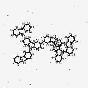 c1ccc2c(c1)sc1ccc(-n3c4ccc(-c5ccc6oc7cc(-n8c9ccccc9c9cccc(-n%10c%11ccccc%11c%11ccccc%11%10)c98)ccc7c6c5)cc4c4cc(-n5c6ccccc6c6ccccc65)ccc43)cc12